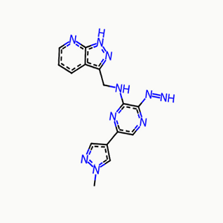 Cn1cc(-c2cnc(N=N)c(NCc3n[nH]c4ncccc34)n2)cn1